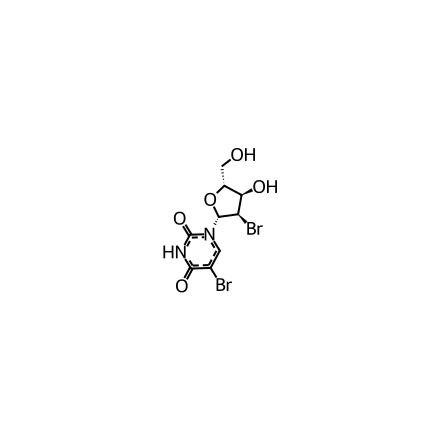 O=c1[nH]c(=O)n([C@@H]2O[C@H](CO)[C@@H](O)[C@H]2Br)cc1Br